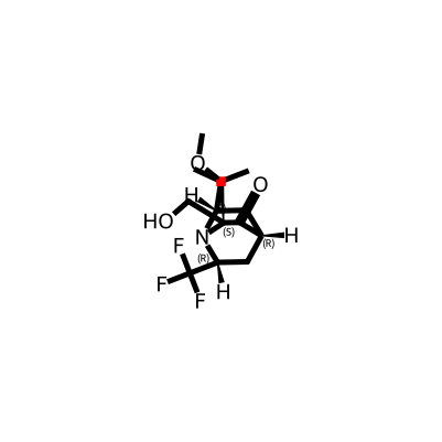 COC[C@@]1(CO)C(=O)[C@@H]2C[C@@H](C(C)C)N1[C@@H](C(F)(F)F)C2